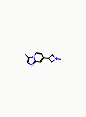 CN1CC(c2ccn3c(I)cnc3c2)C1